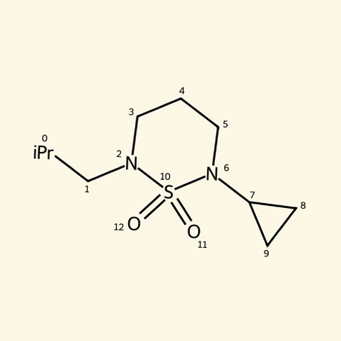 CC(C)CN1CCCN(C2CC2)S1(=O)=O